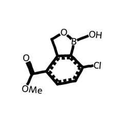 COC(=O)c1ccc(Cl)c2c1COB2O